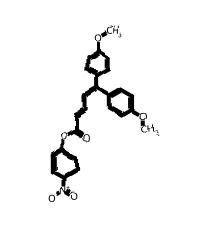 COc1ccc(C(=C/C=C/C(=O)Oc2ccc([N+](=O)[O-])cc2)c2ccc(OC)cc2)cc1